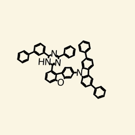 c1ccc(C2=NC(c3cccc(-c4ccccc4)c3)NC(c3cccc4oc5cc(-n6c7ccc(-c8ccccc8)cc7c7ccc(-c8ccccc8)cc76)ccc5c34)=N2)cc1